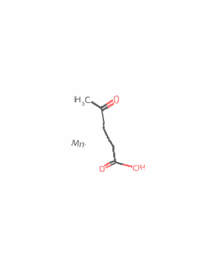 CC(=O)CCC(=O)O.[Mn]